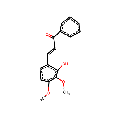 COc1ccc(/C=C/C(=O)c2ccccc2)c(O)c1OC